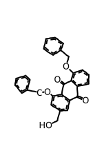 O=C1c2cccc(OCc3ccccc3)c2C(=O)c2c(OCc3ccccc3)cc(CO)cc21